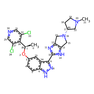 C[C@@H](Oc1ccc2[nH]nc(-c3nc4c([nH]3)CN([C@@H]3CCN(C)C3)C4)c2c1)c1c(Cl)cncc1Cl